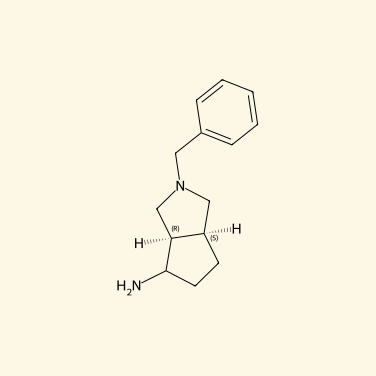 NC1CC[C@@H]2CN(Cc3ccccc3)C[C@H]12